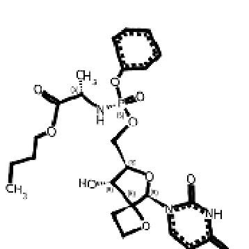 CCCCOC(=O)[C@H](C)N[P@](=O)(OC[C@H]1O[C@@H](n2ccc(=O)[nH]c2=O)[C@@]2(CCO2)[C@@H]1O)Oc1ccccc1